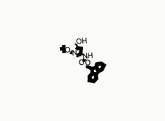 CC(C)(C)OCN1C[C@@H](NC(=O)OCC2c3ccccc3-c3ccccc32)C[C@H]1CO